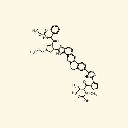 COC[C@H]1CC(c2nc3ccc4cc5c(cc4c3[nH]2)OCc2cc(-c3cnc(C4=CC[C@H](C)N4C(=O)[C@@H](NC(=O)O)C(C)C)[nH]3)ccc2-5)N(C(=O)C(NC(=O)OC)c2ccccc2)C1